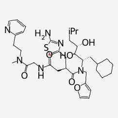 CC(C)C[C@H](O)[C@H](O)[C@H](CC1CCCCC1)N(Cc1ccco1)C(=O)[C@@H](CC(=O)NCC(=O)N(C)CCc1ccccn1)Cc1csc(N)n1